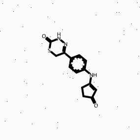 O=C1C=C(Nc2ccc(C3=NNC(=O)SC3)cc2)CC1